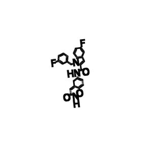 O=C1C=C2CC(NC(=O)c3cc4cc(F)ccc4n3Cc3cccc(F)c3)=CC=C2ON1